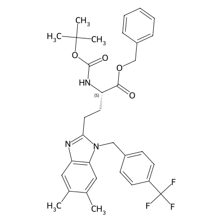 Cc1cc2nc(CC[C@H](NC(=O)OC(C)(C)C)C(=O)OCc3ccccc3)n(Cc3ccc(C(F)(F)F)cc3)c2cc1C